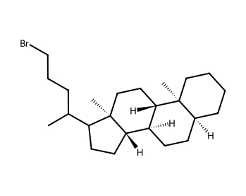 CC(CCCBr)C1CC[C@H]2[C@@H]3CC[C@@H]4CCCC[C@]4(C)[C@H]3CC[C@]12C